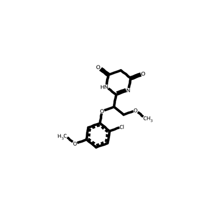 COCC(Oc1cc(OC)ccc1Cl)C1=NC(=O)CC(=O)N1